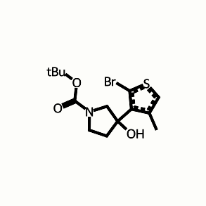 Cc1csc(Br)c1C1(O)CCN(C(=O)OC(C)(C)C)C1